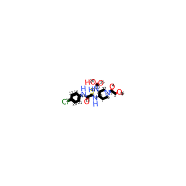 COCC(=O)N1CC[C@H](NC(=S)C(=O)Nc2ccc(Cl)cc2)[C@H](NC(=O)O)C1